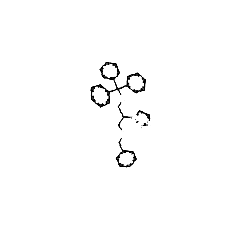 c1ccc(COCC(CSC(c2ccccc2)(c2ccccc2)c2ccccc2)n2ccnn2)cc1